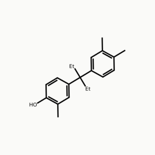 CCC(CC)(c1ccc(C)c(C)c1)c1ccc(O)c(C)c1